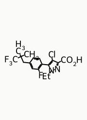 CCn1nc(C(=O)O)c(Cl)c1-c1ccc(CC(C)(C)C(F)(F)F)cc1F